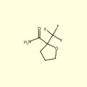 NC(=O)C1(C(F)(F)F)CCCO1